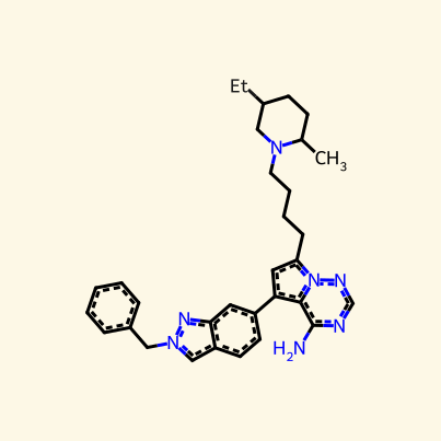 CCC1CCC(C)N(CCCCc2cc(-c3ccc4cn(Cc5ccccc5)nc4c3)c3c(N)ncnn23)C1